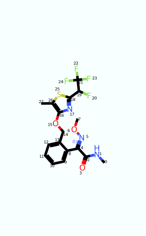 CNC(=O)/C(=N/OC)c1ccccc1COc1nc(C(F)C(F)(F)F)sc1C